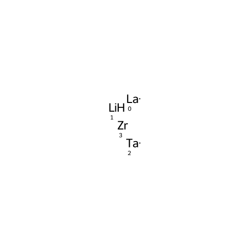 [La].[LiH].[Ta].[Zr]